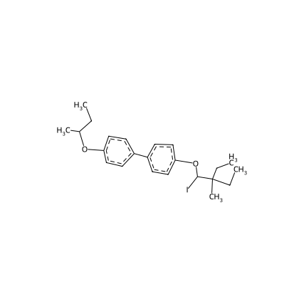 CCC(C)Oc1ccc(-c2ccc(OC(I)C(C)(CC)CC)cc2)cc1